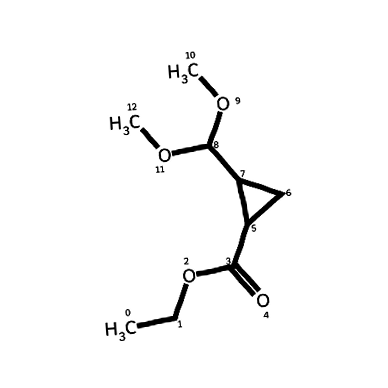 CCOC(=O)C1CC1C(OC)OC